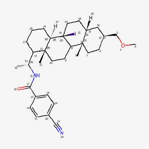 COC[C@H]1CC[C@]2(C)C3CC[C@]4(C)C([C@@H](C)NC(=O)c5ccc(C#N)cc5)CCC[C@H]4[C@]3(I)CC[C@@H]2C1